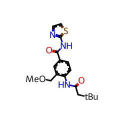 COCc1cc(C(=O)Nc2nccs2)ccc1NC(=O)CC(C)(C)C